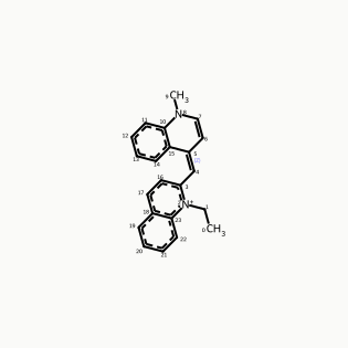 CC[n+]1c(/C=C2/C=CN(C)c3ccccc32)ccc2ccccc21